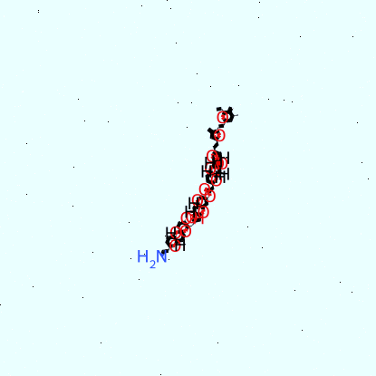 C=C1C[C@H](CC[C@@]23C[C@H]4OC5[C@@H](O[C@H]6CC[C@H](CC(=O)O[C@H]7CO[C@H]8C[C@H]9O[C@@H](C[C@@H]%10O[C@@]%11(CC[C@@H]%10O)C[C@H](C)[C@@H]%10O[C@H](CCN)CC[C@@H]%10O%11)CC9OC8C7)O[C@@H]6[C@@H]5O2)[C@H]4O3)O[C@H]1CC[C@H]1C[C@@H](C)C(=C)[C@@H](CC)O1